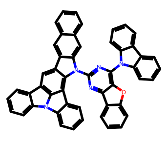 c1ccc2cc3c(cc2c1)c1cc2c4ccccc4n4c5ccccc5c(c1n3-c1nc(-n3c5ccccc5c5ccccc53)c3oc5ccccc5c3n1)c24